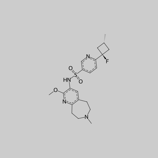 COc1nc2c(cc1NS(=O)(=O)c1ccc([C@]3(F)C[C@H](C)C3)nc1)CCN(C)CC2